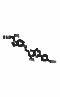 COc1ccc(-c2ncc(F)c(N(C)CCCOc3ccc4c(ccn4C(C)C(=O)O)c3)n2)cc1